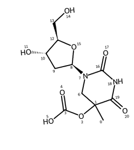 CC1(OC(=O)O)CN([C@H]2C[C@H](O)[C@@H](CO)O2)C(=O)NC1=O